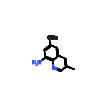 COc1cc(N)c2ncc(C)cc2c1